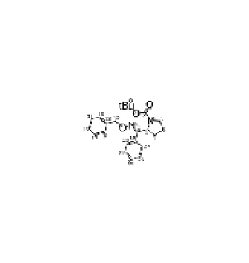 CC(C)(C)OC(=O)N1CCCC1C(=NOCc1ccccc1)c1ccccc1